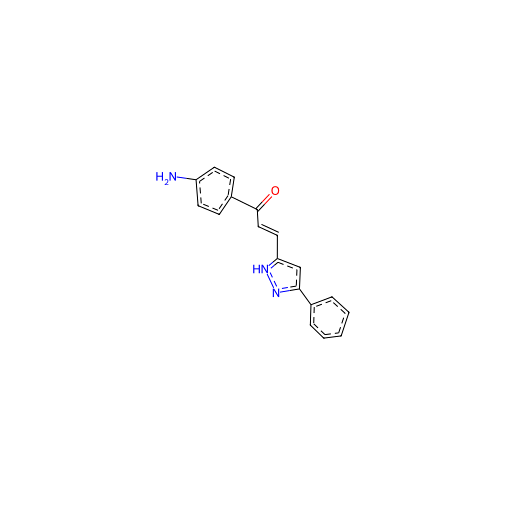 Nc1ccc(C(=O)C=Cc2cc(-c3ccccc3)n[nH]2)cc1